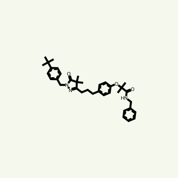 CC(C)(Oc1ccc(CCCC2=NN(Cc3ccc(C(C)(C)C)cc3)C(=O)C2(C)C)cc1)C(=O)NCc1ccccc1